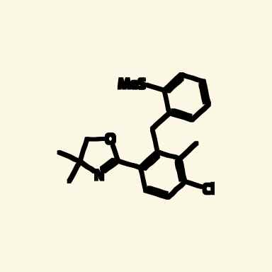 CSc1ccccc1Cc1c(C2=NC(C)(C)CO2)ccc(Cl)c1C